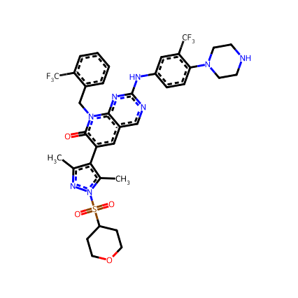 Cc1nn(S(=O)(=O)C2CCOCC2)c(C)c1-c1cc2cnc(Nc3ccc(N4CCNCC4)c(C(F)(F)F)c3)nc2n(Cc2ccccc2C(F)(F)F)c1=O